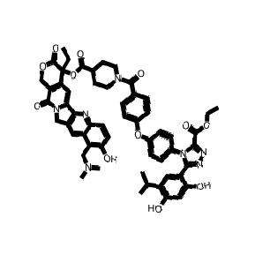 CCOC(=O)c1nnc(-c2cc(C(C)C)c(O)cc2O)n1-c1ccc(Oc2ccc(C(=O)N3CCC(C(=O)OC4(CC)C(=O)OCc5c4cc4n(c5=O)Cc5cc6c(CN(C)C)c(O)ccc6nc5-4)CC3)cc2)cc1